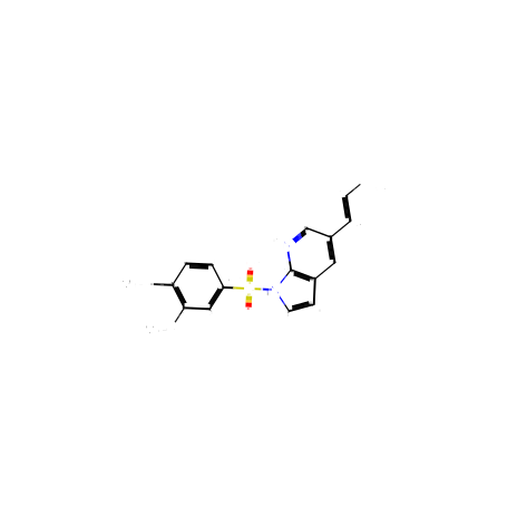 COc1ccc(S(=O)(=O)n2ccc3cc(/C=C/C(=O)O)cnc32)cc1OC